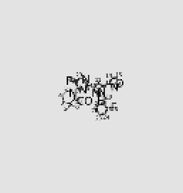 CC1(C)CCCN(c2nc(-c3cc(-c4ccon4)n(Cc4ccccc4F)n3)ncc2F)C1C(=O)O